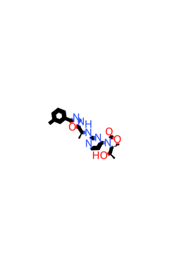 Cc1cccc(-c2nnc([C@H](C)Nc3nccc(N4C(=O)OC[C@@H]4[C@@H](C)O)n3)o2)c1